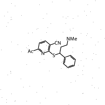 CNCCC(Sc1nc(C(C)=O)ccc1C#N)c1ccccc1